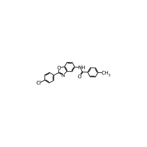 Cc1ccc(C(=O)Nc2ccc3oc(-c4ccc(Cl)cc4)nc3c2)cc1